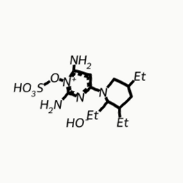 CCC1CC(CC)C(CC)N(c2cc(N)[n+](OS(=O)(=O)O)c(N)n2)C1.[OH-]